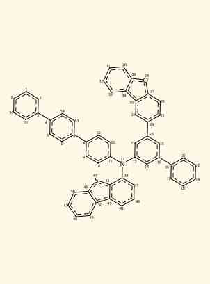 c1ccc(-c2ccc(-c3ccc(N(c4cc(-c5ccccc5)cc(-c5ccc6oc7ccccc7c6c5)c4)c4cccc5c4sc4ccccc45)cc3)cc2)cc1